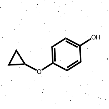 Oc1ccc(OC2CC2)cc1